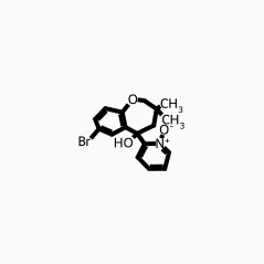 CC1(C)COc2ccc(Br)cc2C(O)(c2cccc[n+]2[O-])C1